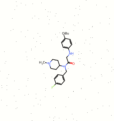 CC(C)COc1ccc(NCC(=O)N(Cc2ccc(F)cc2)C2CCN(C)CC2)cc1